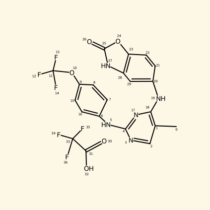 Cc1cnc(Nc2ccc(OC(F)(F)F)cc2)nc1Nc1ccc2oc(=O)[nH]c2c1.O=C(O)C(F)(F)F